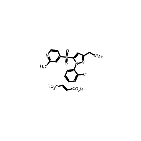 CNCc1cc(S(=O)(=O)c2ccnc(C)c2)n(-c2ccccc2Cl)n1.O=C(O)C=CC(=O)O